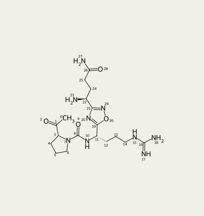 CC(=O)C1CCCN1C(=O)N[C@@H](CCCNC(=N)N)c1nc([C@@H](N)CCC(N)=O)no1